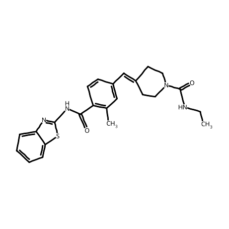 CCNC(=O)N1CCC(=Cc2ccc(C(=O)Nc3nc4ccccc4s3)c(C)c2)CC1